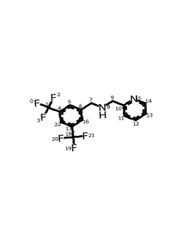 FC(F)(F)c1cc(CNCc2ccccn2)cc(C(F)(F)F)c1